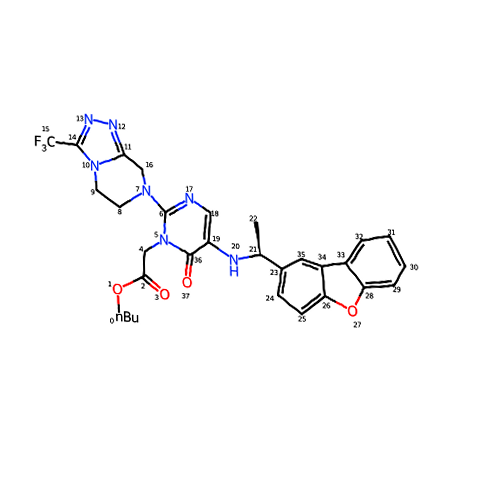 CCCCOC(=O)Cn1c(N2CCn3c(nnc3C(F)(F)F)C2)ncc(N[C@@H](C)c2ccc3oc4ccccc4c3c2)c1=O